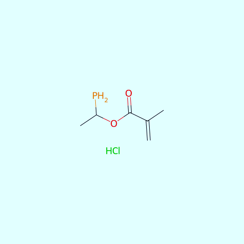 C=C(C)C(=O)OC(C)P.Cl